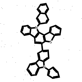 c1ccc(-n2c3ccccc3c3cc(-c4cc5c6ccccc6n(-c6ccc7ccccc7c6)c5c5c4sc4ccccc45)ccc32)cc1